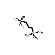 CCCC[N+](C)(C)CCC[N+](C)(C)CCCC